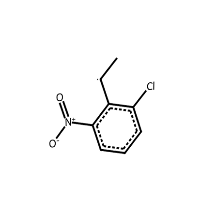 C[CH]c1c(Cl)cccc1[N+](=O)[O-]